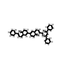 c1ccc(-c2cc(-c3ccccc3)nc(-c3ccc4cc(-c5ccc6nc(-c7ccccc7)ccc6c5)ccc4n3)n2)cc1